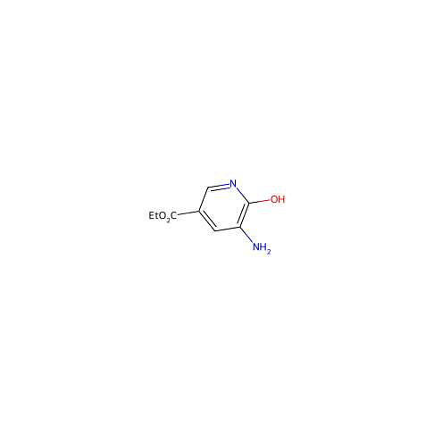 CCOC(=O)c1cnc(O)c(N)c1